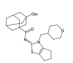 O=C(N=c1sc2c(n1CC1CCOCC1)CCC2)C12CC3CC(CC(O)(C3)C1)C2